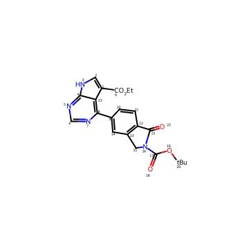 CCOC(=O)c1c[nH]c2ncnc(-c3ccc4c(c3)CN(C(=O)OC(C)(C)C)C4=O)c12